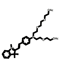 CC(=O)OCCOCCOCCN(CCOCCOC(C)=O)c1ccc(/C=C/C2=[N+](C)c3ccccc3C2(C)C)cc1